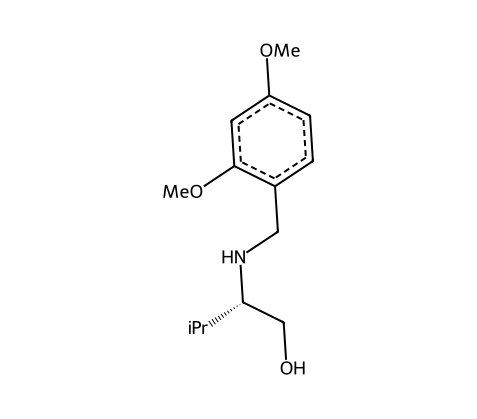 COc1ccc(CN[C@H](CO)C(C)C)c(OC)c1